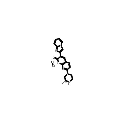 C[C@@H]1CN(c2ccc3cc(-c4cn5ccccc5n4)c(=O)oc3n2)CCN1.OCl